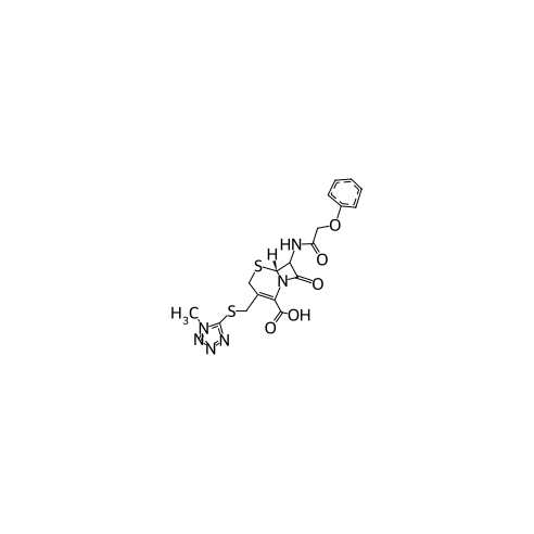 Cn1nnnc1SCC1=C(C(=O)O)N2C(=O)C(NC(=O)COc3ccccc3)[C@H]2SC1